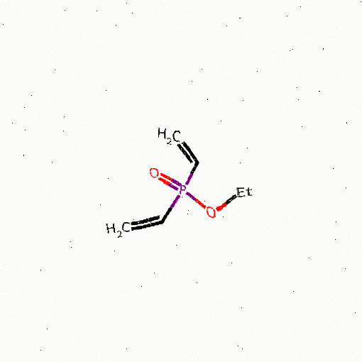 C=CP(=O)(C=C)OCC